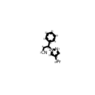 CC(C)c1cnn(C(CC#N)c2ccccc2)c1